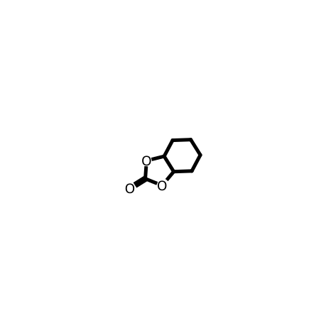 O=C1OC2CCCCC2O1